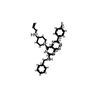 C=CCNC1CCN(c2nc(NCc3ccccc3)nc3nnc(-c4ccc(F)cc4)nc23)CC1